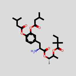 CCC(C)(C)C(=O)OC(C)[C@H](C)OC(=O)[C@@H](N)Cc1ccc(OC(=O)CC(C)C)c(OC(=O)CC(C)C)c1